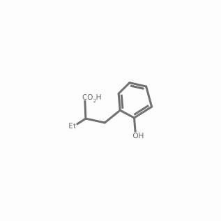 CCC(Cc1ccccc1O)C(=O)O